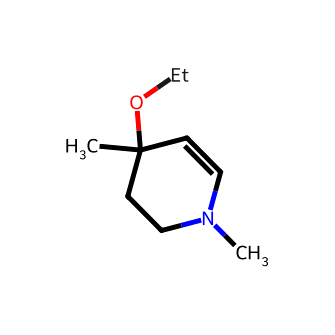 CCOC1(C)C=CN(C)CC1